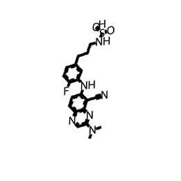 CN(C)c1cnc2ccc(Nc3cc(CCCN[SH](=O)=O)ccc3F)c(C#N)c2n1